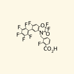 O=C(O)c1cccc(CN2C(=O)C(F)(F)Oc3cc(F)c(-c4c(F)c(F)c(F)c(F)c4F)cc32)c1F